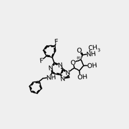 CNC(=O)[C@@H]1OC(n2cnc3c(NCc4ccccc4)nc(-c4cc(F)ccc4F)nc32)C(O)C1O